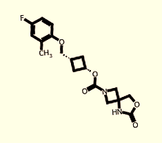 Cc1cc(F)ccc1OC[C@H]1C[C@@H](OC(=O)N2CC3(COC(=O)N3)C2)C1